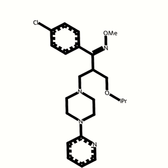 CO/N=C(\c1ccc(Cl)cc1)C(COC(C)C)CN1CCN(c2ccccn2)CC1